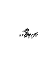 Cc1cnn2c(NCC3CCCN(C4CCOCC4)C3)cc(-c3ccccc3O)nc12